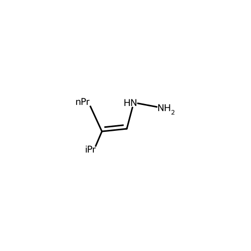 CCC/C(=C\NN)C(C)C